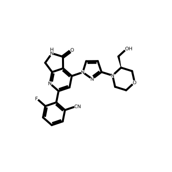 N#Cc1cccc(F)c1-c1cc(-n2ccc(N3CCOC[C@@H]3CO)n2)c2c(n1)CNC2=O